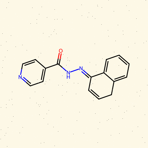 O=C(N/N=C1\C=CCc2ccccc21)c1ccncc1